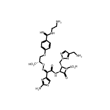 N=C(NCCN)c1ccc(OC[C@H](O/N=C(\C(=O)N[C@@H]2C(=O)N(S(=O)(=O)O)[C@@H]2Cn2ncc(CN)n2)c2csc(N)n2)C(=O)O)cc1